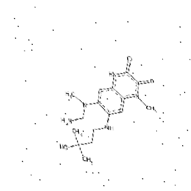 CN(CN)c1cc2[nH]c(=O)c(=O)n(C)c2cc1NCCC(C)(C)O